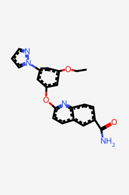 CCOc1cc(Oc2ccc3cc(C(N)=O)ccc3n2)cc(-n2cccn2)c1